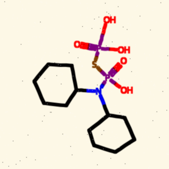 O=P(O)(O)SP(=O)(O)N(C1CCCCC1)C1CCCCC1